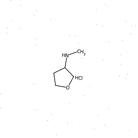 CNC1CCOC1.Cl